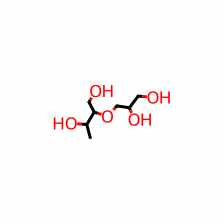 CC(O)C(CO)OCC(O)CO